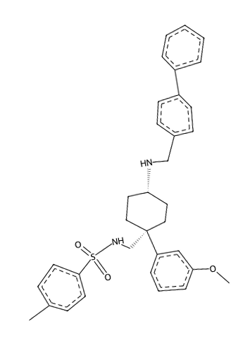 COc1cccc([C@]2(CNS(=O)(=O)c3ccc(C)cc3)CC[C@@H](NCc3ccc(-c4ccccc4)cc3)CC2)c1